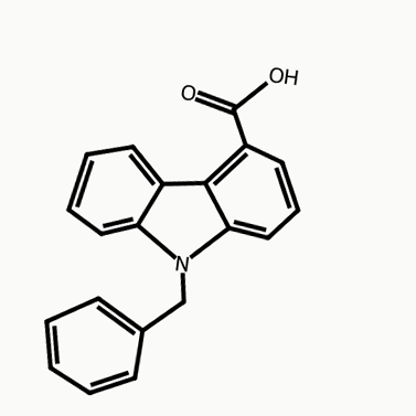 O=C(O)c1cccc2c1c1ccccc1n2Cc1ccccc1